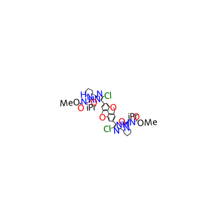 COC(=O)N[C@H](C(=O)N1CCCC[C@H]1c1nc(Cl)c(-c2cc3c4c(c2)OCc2cc(-c5[nH]c([C@@H]6CCCCN6C(=O)[C@@H](NC(=O)OC)C(C)C)nc5Cl)cc(c2-4)OC3)[nH]1)C(C)C